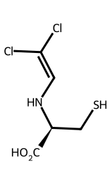 O=C(O)[C@H](CS)NC=C(Cl)Cl